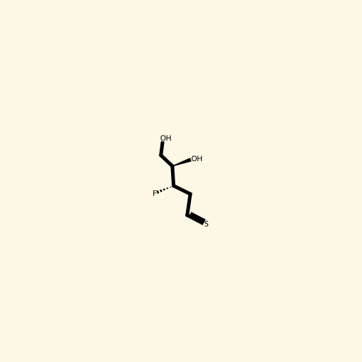 OC[C@@H](O)[C@@H](F)CC=S